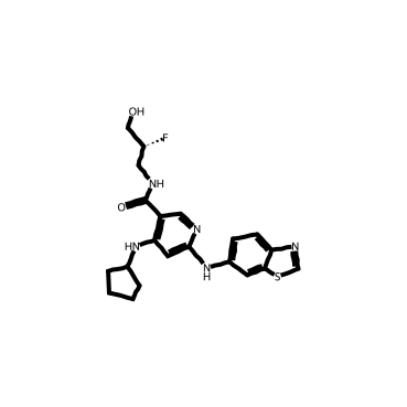 O=C(NC[C@@H](F)CO)c1cnc(Nc2ccc3ncsc3c2)cc1NC1CCCC1